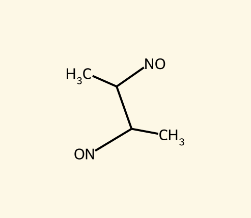 CC(N=O)C(C)N=O